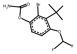 CC(C)(C)c1c(OC(F)F)ccc(OC(N)=O)c1Br